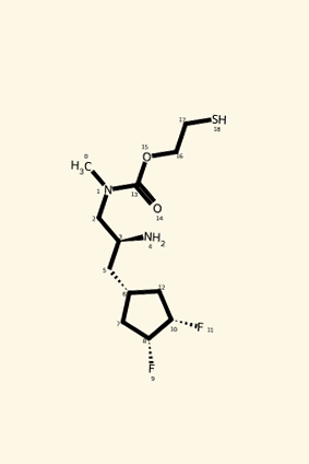 CN(C[C@@H](N)C[C@H]1C[C@@H](F)[C@@H](F)C1)C(=O)OCCS